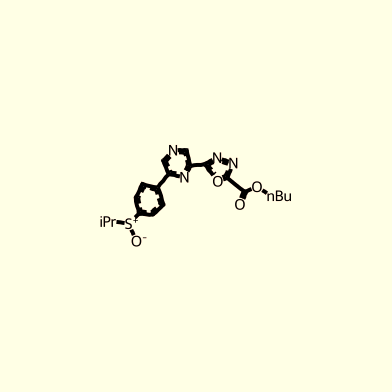 CCCCOC(=O)c1nnc(-c2cncc(-c3ccc([S+]([O-])C(C)C)cc3)n2)o1